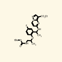 CCOC(=O)c1cnn2ccc(NC(C)c3cc(F)ccc3OC(C)CNC(=O)OC(C)(C)C)nc12